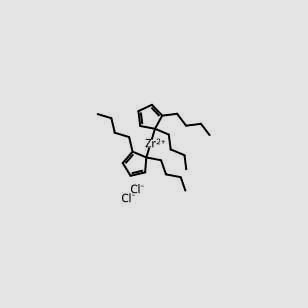 CCCCC1=CC=C[C]1(CCCC)[Zr+2][C]1(CCCC)C=CC=C1CCCC.[Cl-].[Cl-]